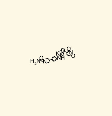 COc1ccc(-c2ccc3cnc(Nc4ccc(C5CCN(CC(N)=O)CC5)cc4)nn23)c(OC)n1